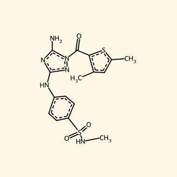 CNS(=O)(=O)c1ccc(Nc2nc(N)n(C(=O)c3sc(C)cc3C)n2)cc1